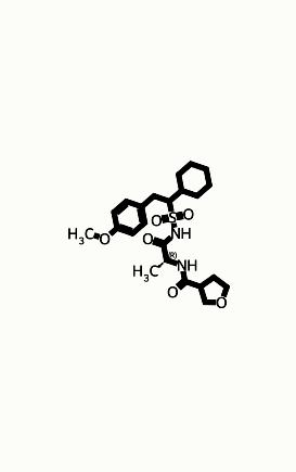 COc1ccc(CC(C2CCCCC2)S(=O)(=O)NC(=O)[C@@H](C)NC(=O)C2CCOC2)cc1